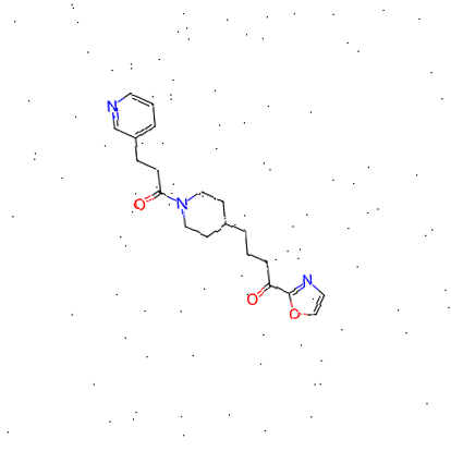 O=C(CCCC1CCN(C(=O)CCc2cccnc2)CC1)c1ncco1